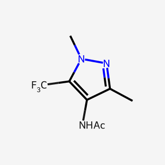 CC(=O)Nc1c(C)nn(C)c1C(F)(F)F